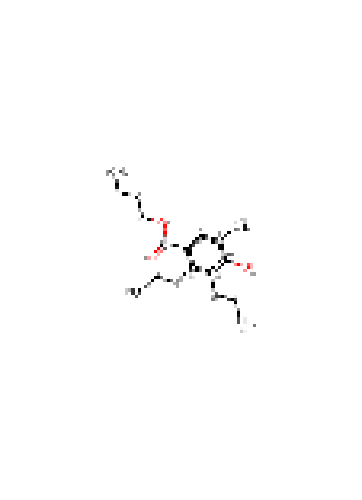 CCCCOC(=O)c1cc(C)c(O)c(CCC)c1CCC